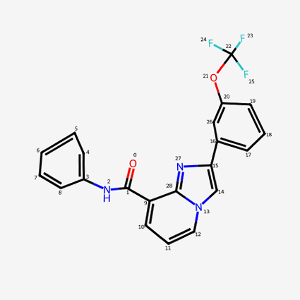 O=C(Nc1ccccc1)c1cccn2cc(-c3cccc(OC(F)(F)F)c3)nc12